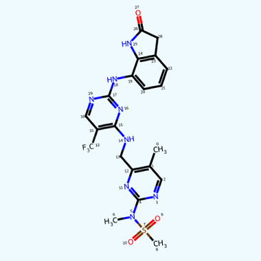 Cc1cnc(N(C)S(C)(=O)=O)nc1CNc1nc(Nc2cccc3c2NC(=O)C3)ncc1C(F)(F)F